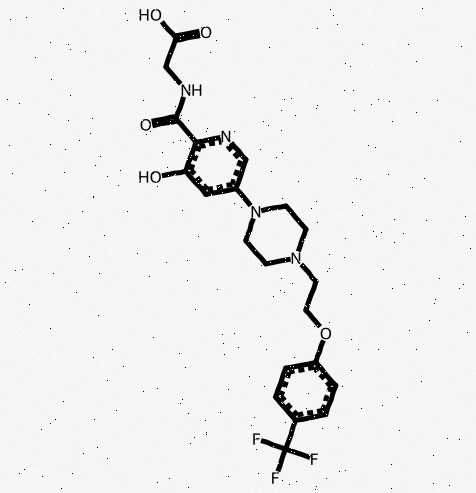 O=C(O)CNC(=O)c1ncc(N2CCN(CCOc3ccc(C(F)(F)F)cc3)CC2)cc1O